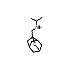 CC(C)NCC12CC3CC(CC1C3)C2